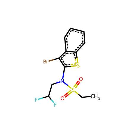 CCS(=O)(=O)N(CC(F)F)c1sc2ccccc2c1Br